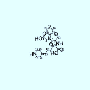 O=C(O)CN1C(=O)C(N[C@@H](CCCCC2CCNCC2)C(=O)O)COc2ccccc21